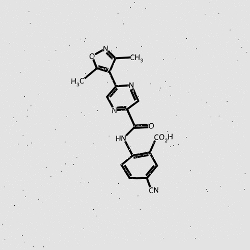 Cc1noc(C)c1-c1cnc(C(=O)Nc2ccc(C#N)cc2C(=O)O)cn1